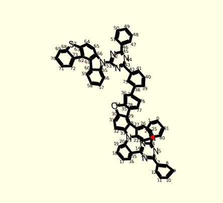 c1ccc(-c2nc(-c3ccccc3)nc(-c3ccccc3-n3c4ccccc4c4c5c(ccc43)oc3cc(-c4cccc(-c6nc(-c7ccccc7)nc(-n7c8ccccc8c8c9c(ccc87)sc7ccccc79)n6)c4)ccc35)n2)cc1